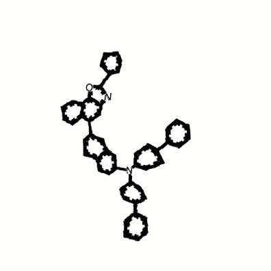 c1ccc(-c2ccc(N(c3ccc(-c4ccccc4)cc3)c3ccc4ccc(-c5cc6nc(-c7ccccc7)oc6c6ccccc56)cc4c3)cc2)cc1